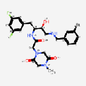 CCc1cccc(CNC[C@H](O)[C@H](Cc2cc(F)cc(F)c2)NC(=O)CN2CC(=O)N(C)CC2=O)c1